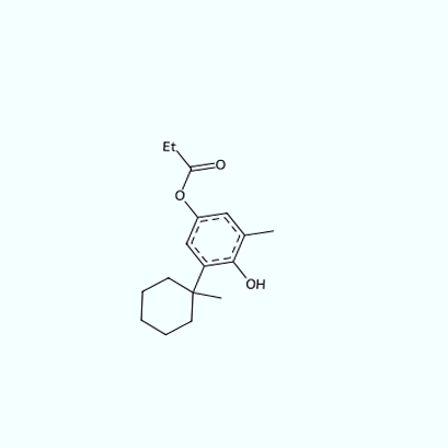 CCC(=O)Oc1cc(C)c(O)c(C2(C)CCCCC2)c1